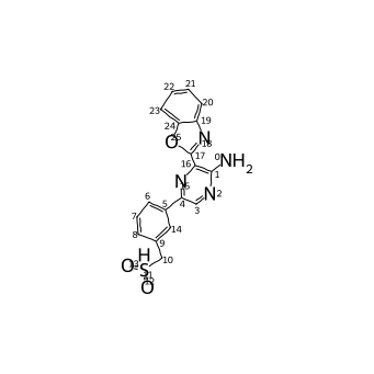 Nc1ncc(-c2cccc(C[SH](=O)=O)c2)nc1-c1nc2ccccc2o1